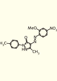 COc1cc([N+](=O)[O-])ccc1N=Nc1c(C)[nH]n(-c2ccc(C)cc2)c1=O